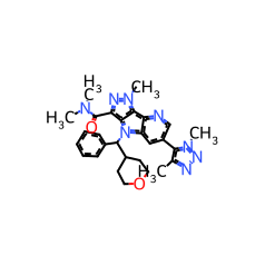 Cc1nnn(C)c1-c1cnc2c3c(c(C(=O)N(C)C)nn3C)n(C(c3ccccc3)C3CCOCC3)c2c1